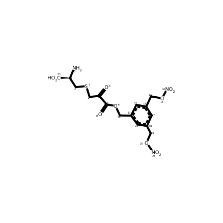 N[C@@H](CSCC(=O)C(=O)OCc1cc(CO[N+](=O)[O-])cc(CO[N+](=O)[O-])c1)C(=O)O